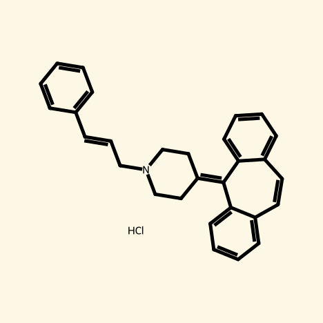 C1=Cc2ccccc2C(=C2CCN(C/C=C/c3ccccc3)CC2)c2ccccc21.Cl